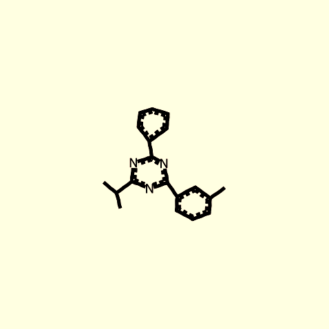 Cc1cccc(-c2nc(-c3ccccc3)nc(C(C)C)n2)c1